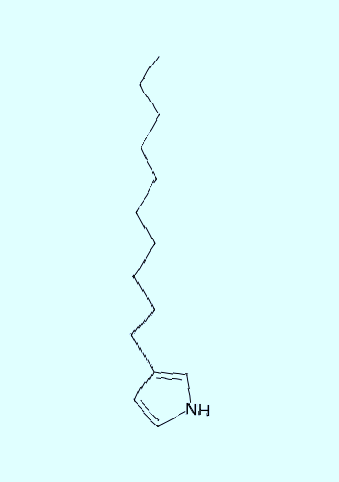 CCCCCCCCCCc1cc[nH]c1